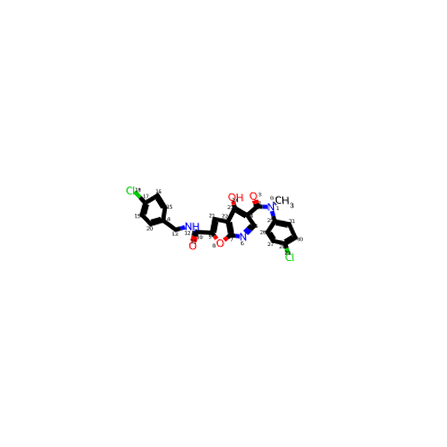 CN(C(=O)c1cnc2oc(C(=O)NCc3ccc(Cl)cc3)cc2c1O)c1ccc(Cl)cc1